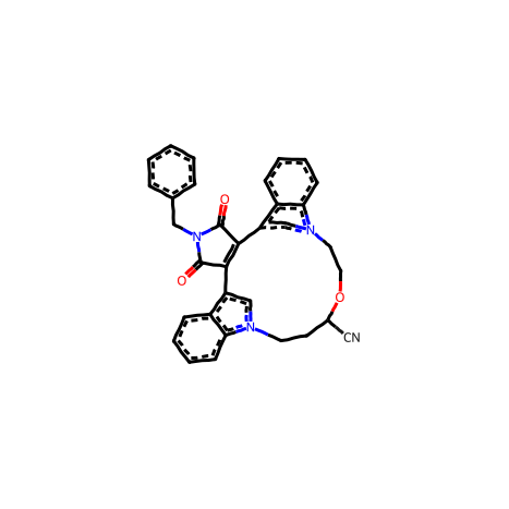 N#CC1CCn2cc(c3ccccc32)C2=C(C(=O)N(Cc3ccccc3)C2=O)c2cn(c3ccccc23)CCO1